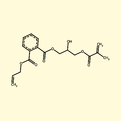 C=CCOC(=O)c1ccccc1C(=O)OCC(O)COC(=O)C(=C)C